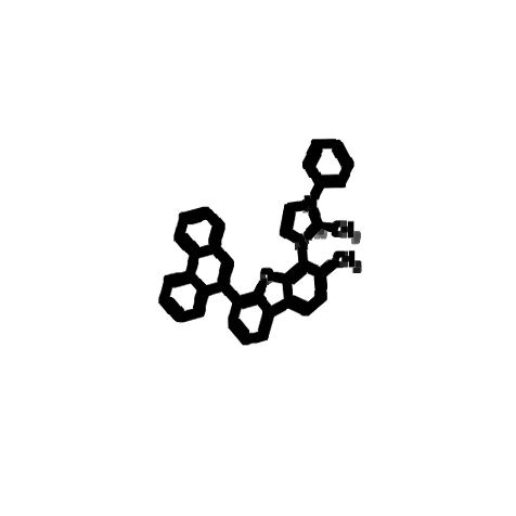 Cc1ccc2c(oc3c(-c4cc5ccccc5c5ccccc45)cccc32)c1N1C=CN(c2ccccc2)[C@H]1C